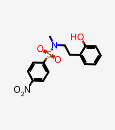 CN(CCc1ccccc1O)S(=O)(=O)c1ccc([N+](=O)[O-])cc1